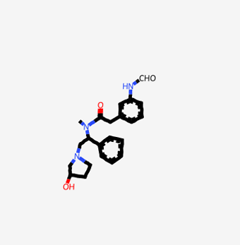 CN(C(=O)Cc1cccc(NC=O)c1)C(CN1CCC(O)C1)c1ccccc1